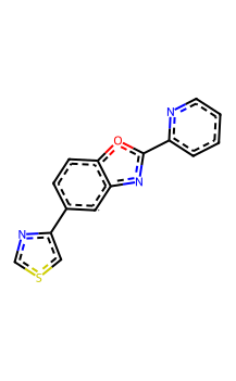 [c]1c(-c2cscn2)ccc2oc(-c3ccccn3)nc12